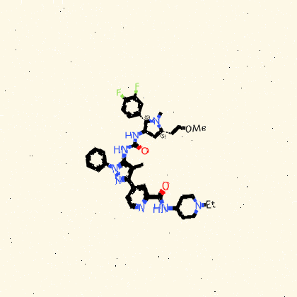 CCN1CCC(NC(=O)c2cc(-c3nn(-c4ccccc4)c(NC(=O)NC4C[C@@H](CCOC)N(C)[C@H]4c4ccc(F)c(F)c4)c3C)ccn2)CC1